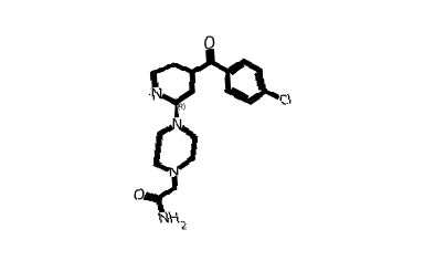 NC(=O)CN1CCN([C@@H]2CC(C(=O)c3ccc(Cl)cc3)CC[N]2)CC1